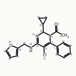 CC(=O)N1C(c2ccccc2)=C(Cl)C(NCc2ccco2)=NC1C1CC1